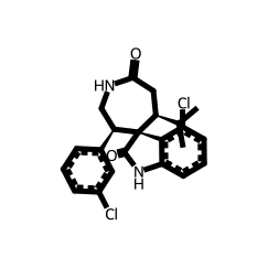 CC(C)[C@@H]1CC(=O)NC[C@H](c2cccc(Cl)c2)[C@@]12C(=O)Nc1cccc(Cl)c12